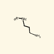 CC[CH]NCCCN